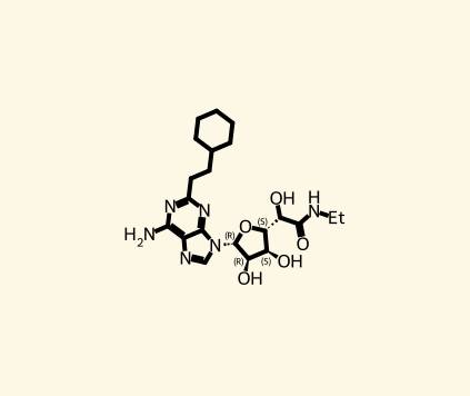 CCNC(=O)C(O)[C@H]1O[C@@H](n2cnc3c(N)nc(CCC4CCCCC4)nc32)[C@H](O)[C@@H]1O